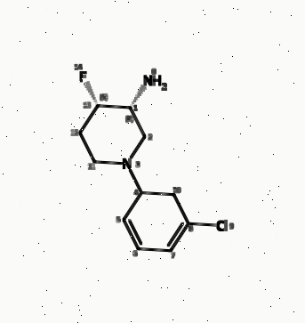 N[C@@H]1CN(C2C=CC=C(Cl)C2)CC[C@@H]1F